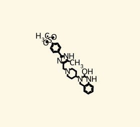 Cc1[nH]c(-c2ccc(S(C)(=O)=O)cc2)nc1CN1CCC(N2Cc3ccccc3NC2O)CC1